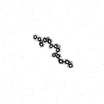 c1ccc(-c2ccc3c(c2)c2ccccc2n3-c2ccc3oc4ccc(-c5cccc(-c6ccc7oc8ccc(-n9c%10ccccc%10c%10cc(-c%11cccc(-c%12ccc%13oc%14ccccc%14c%13c%12)c%11)ccc%109)cc8c7c6)c5)cc4c3c2)cc1